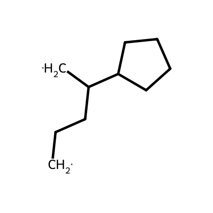 [CH2]CCC([CH2])C1CCCC1